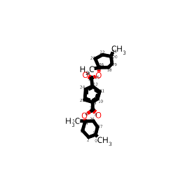 CC1CCC(C)(OC(=O)c2ccc(C(=O)OC3(C)CCC(C)CC3)cc2)CC1